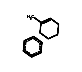 CC1=CCCCC1.c1ccccc1